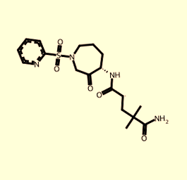 CC(C)(C[CH]C(=O)N[C@H]1CCCN(S(=O)(=O)c2ccccn2)CC1=O)C(N)=O